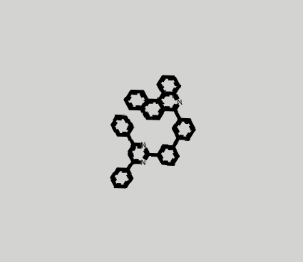 c1ccc(-c2cc(-c3ccccc3)nc(-c3cccc(-c4cccc(-c5nc6ccccc6c6c5ccc5ccccc56)c4)c3)n2)cc1